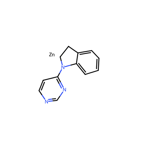 [Zn].c1ccc2c(c1)CCN2c1ccncn1